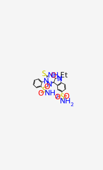 CCN1C(=O)/C(=N\N(C(N)=S)c2ccccc2S(N)(=O)=O)c2cc(S(N)(=O)=O)ccc21